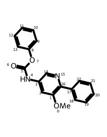 COc1cc(NC(=O)Oc2ccccc2)cnc1-c1ccccc1